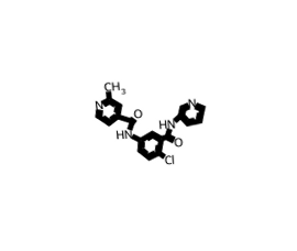 Cc1cc(C(=O)Nc2ccc(Cl)c(C(=O)Nc3cccnc3)c2)ccn1